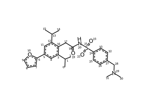 CC(C)c1cc(-c2ccco2)cc(C(C)C)c1CC(=O)NS(=O)(=O)c1ccc(CN(C)C)cc1